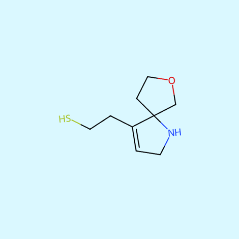 SCCC1=CCNC12CCOC2